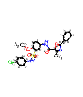 COc1ccc(NC(=O)c2oc(-c3ccccc3)nc2C)cc1S(=O)(=O)Nc1ccc(Cl)cc1